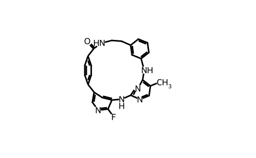 Cc1cnc2nc1Nc1cccc(c1)CCNC(=O)c1ccc(cc1)-c1cnc(F)c(c1)N2